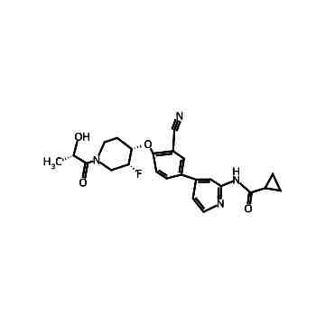 C[C@H](O)C(=O)N1CC[C@H](Oc2ccc(-c3ccnc(NC(=O)C4CC4)c3)cc2C#N)[C@H](F)C1